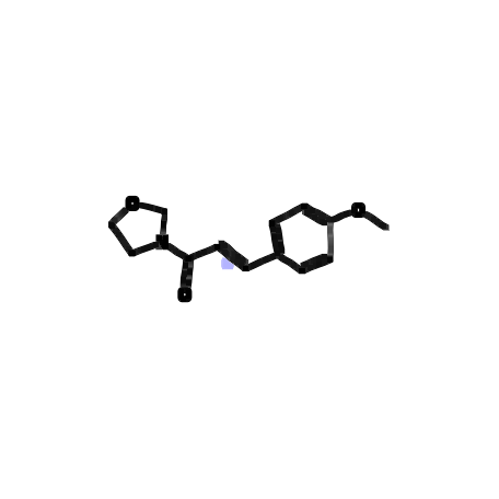 COc1ccc(/C=C/C(=O)N2CCOC2)cc1